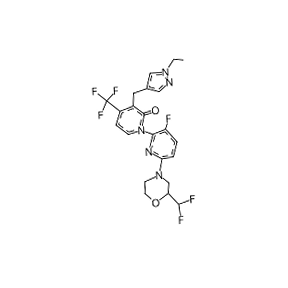 CCn1cc(Cc2c(C(F)(F)F)ccn(-c3nc(N4CCOC(C(F)F)C4)ccc3F)c2=O)cn1